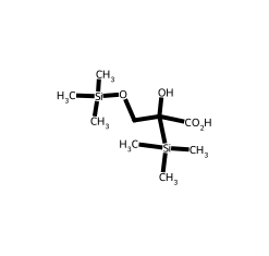 C[Si](C)(C)OCC(O)(C(=O)O)[Si](C)(C)C